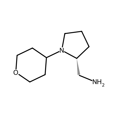 NC[C@H]1CCCN1C1CCOCC1